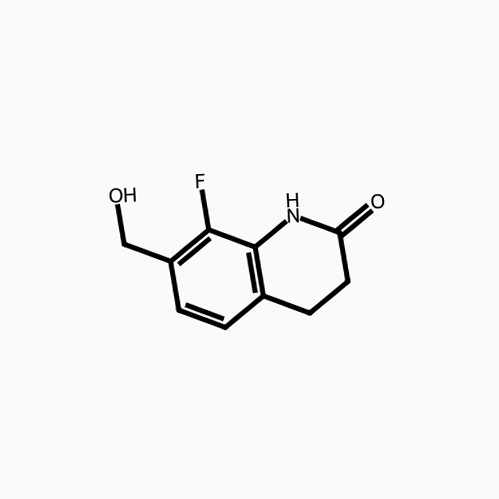 O=C1CCc2ccc(CO)c(F)c2N1